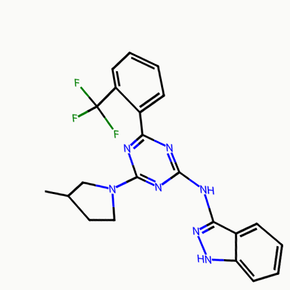 CC1CCN(c2nc(Nc3n[nH]c4ccccc34)nc(-c3ccccc3C(F)(F)F)n2)C1